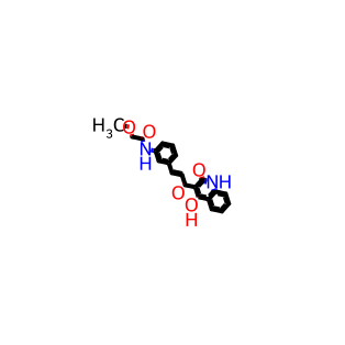 COCC(=O)Nc1cccc(C=CC(=O)c2c(O)c3ccccc3[nH]c2=O)c1